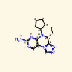 CC[C@@H]1c2nncn2-c2cnc(N)nc2N1C1CCCC1